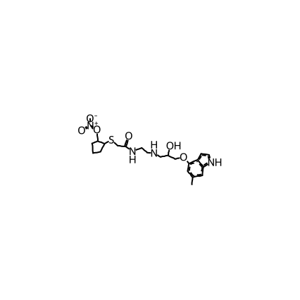 Cc1cc(OCC(O)CNCCNC(=O)CSC2CCCC2O[N+](=O)[O-])c2cc[nH]c2c1